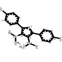 Cc1ccc(-c2sc(-c3ccc(C)cc3)c([S+](C)[O-])c2[S+](C)[O-])cc1